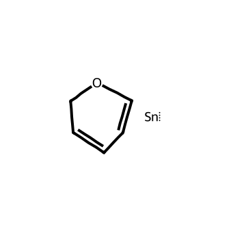 C1=CCOC=C1.[Sn]